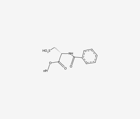 CCCOC(=O)[C@H](CS(=O)(=O)O)NC(=O)c1ccccc1